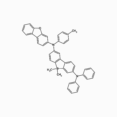 Cc1ccc(N(c2ccc3c(c2)-c2ccc(N(c4ccccc4)c4ccccc4)cc2[Si]3(C)C)c2ccc3c(c2)oc2ccccc23)cc1